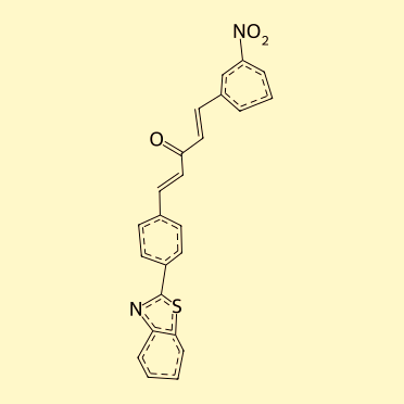 O=C(C=Cc1ccc(-c2nc3ccccc3s2)cc1)C=Cc1cccc([N+](=O)[O-])c1